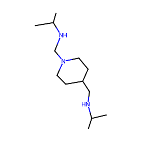 CC(C)NCC1CCN(CNC(C)C)CC1